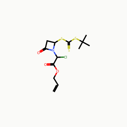 C=CCOC(=O)C(Cl)N1C(=O)CC1SC(=S)SC(C)(C)C